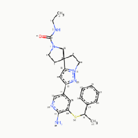 CCNC(=O)N1CCC2(CCn3nc(-c4cnc(N)c(SC(C)c5ccccc5)c4)cc32)C1